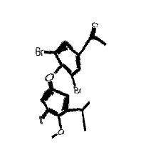 COc1c(I)cc(Oc2c(Br)cc(C(C)=O)cc2Br)cc1C(C)C